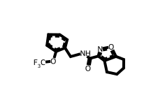 O=C(NCc1ccccc1OC(F)(F)F)c1noc2c1CCCC2